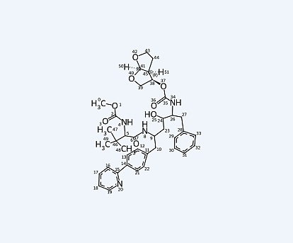 COC(=O)NC(C(=O)NC(Cc1ccc(-c2ccccn2)cc1)CC(O)C(Cc1ccccc1)NC(=O)O[C@H]1CO[C@H]2OCC[C@H]21)C(C)(C)C